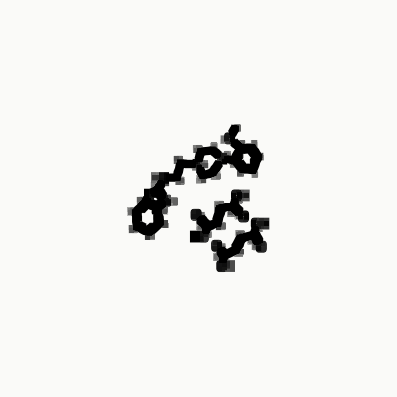 COc1ccccc1N1CCN(CCNc2nc3ccccc3s2)CC1.O=C(O)C=CC(=O)O.O=C(O)C=CC(=O)O